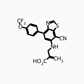 C=C(CNc1cc(-c2ccc(OC(F)(F)F)cc2)c2ncsc2c1C#N)C(=O)O